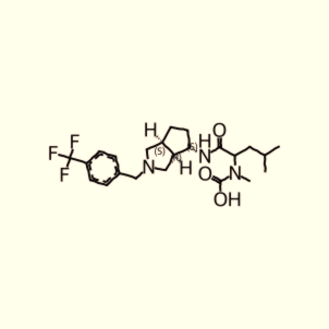 CC(C)CC(C(=O)N[C@H]1CC[C@@H]2CN(Cc3ccc(C(F)(F)F)cc3)C[C@@H]21)N(C)C(=O)O